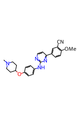 COc1ccc(-c2ccnc(Nc3ccc(OC4CCN(C)CC4)cc3)n2)cc1C#N